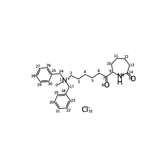 C[N+](CCCCCC(=O)C1CCCCC(=O)N1)(Cc1ccccc1)Cc1ccccc1.[Cl-]